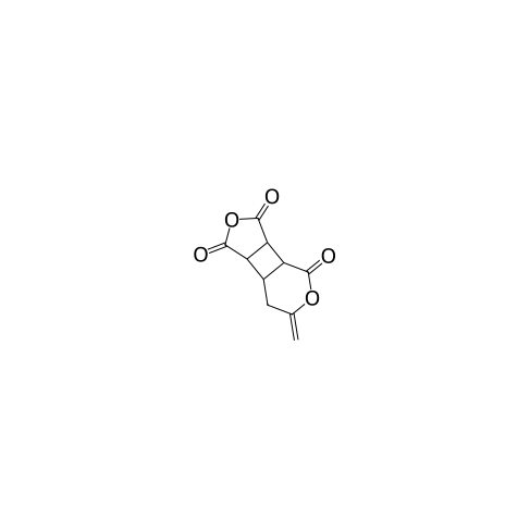 C=C1CC2C(C(=O)O1)C1C(=O)OC(=O)C21